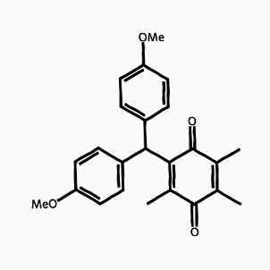 COc1ccc(C(C2=C(C)C(=O)C(C)=C(C)C2=O)c2ccc(OC)cc2)cc1